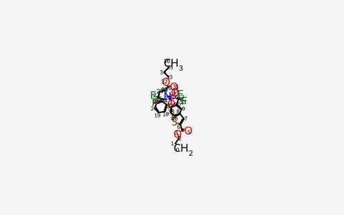 C=CCOC(=O)c1cc2cc(C(F)(F)P(=O)(Oc3ccccc3)N3CC(F)(F)C[C@H]3C(=O)OCCCC)ccc2s1